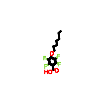 CCCCCCCOc1c(F)c(F)c(C(=O)O)c(F)c1F